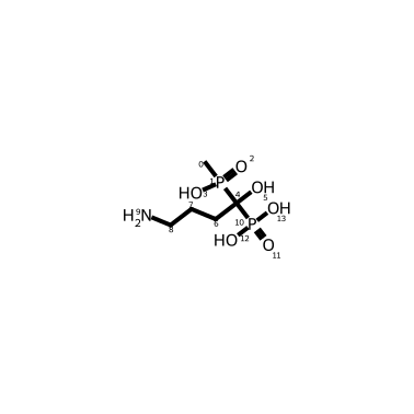 CP(=O)(O)C(O)(CCCN)P(=O)(O)O